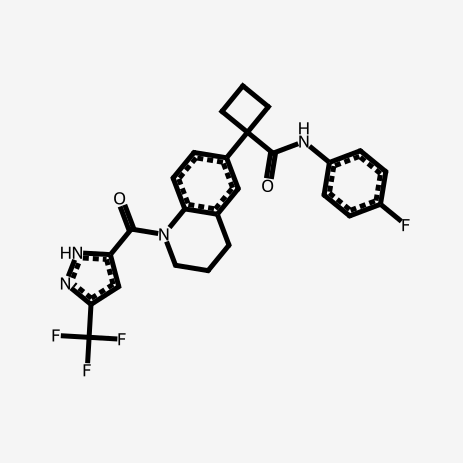 O=C(c1cc(C(F)(F)F)n[nH]1)N1CCCc2cc(C3(C(=O)Nc4ccc(F)cc4)CCC3)ccc21